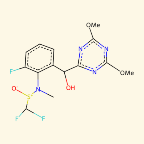 COc1nc(OC)nc(C(O)c2cccc(F)c2N(C)[S+]([O-])C(F)F)n1